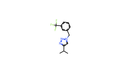 CC(C)c1cn(Cc2cccc(C(F)(F)F)c2)nn1